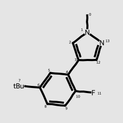 Cn1cc(-c2cc(C(C)(C)C)ccc2F)cn1